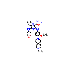 CCc1nc(C(N)=O)c(Nc2ccc(N3CCC4(CCN(C)CC4)CC3)c(OC)c2)nc1NC1CCOCC1